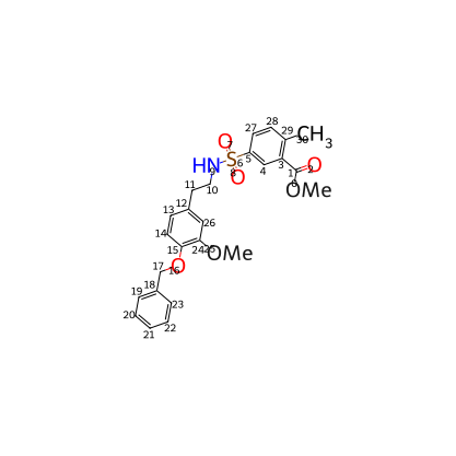 COC(=O)c1cc(S(=O)(=O)NCCc2ccc(OCc3ccccc3)c(OC)c2)ccc1C